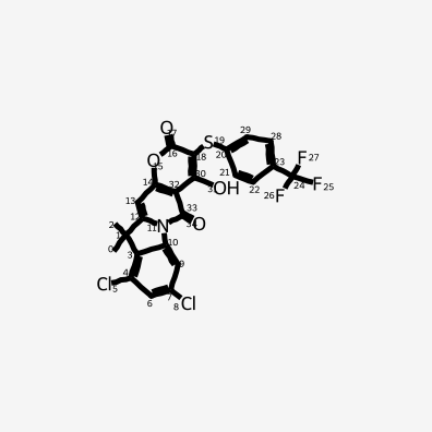 CC1(C)c2c(Cl)cc(Cl)cc2-n2c1cc1oc(=O)c(Sc3ccc(C(F)(F)F)cc3)c(O)c1c2=O